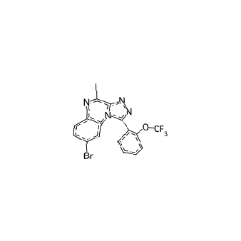 Cc1nc2ccc(Br)cc2n2c(-c3ccccc3OC(F)(F)F)nnc12